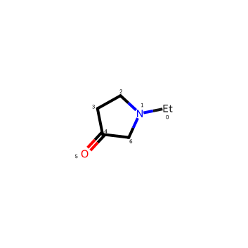 CCN1CCC(=O)C1